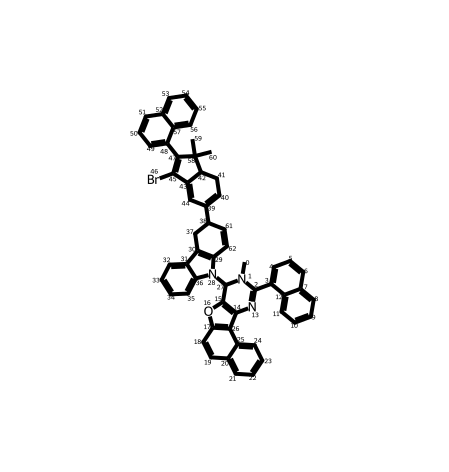 CN1C(c2cccc3ccccc23)=Nc2c(oc3ccc4ccccc4c23)C1n1c2c(c3ccccc31)CC(C1=CCC3C(=C1)C(Br)=C(c1cccc4ccccc14)C3(C)C)C=C2